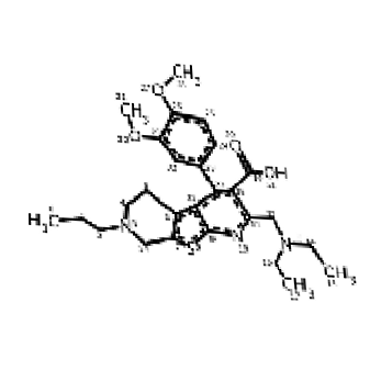 CCCN1CCc2c(sc3nc(CN(CC)CC)c(C(=O)O)c(-c4ccc(OC)c(OC)c4)c23)C1